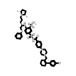 C[C@@H]1CC[C@H](C)N1CCC[C@H](CSc1ccccc1)Nc1ccc(S(=O)(=O)NC(=O)c2ccc(N3CCN(CC4=C(c5ccc(Cl)cc5)CCCC4)CC3)cc2)cc1S(=O)(=O)C(F)(F)F